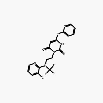 O=c1cc(Sc2ccccn2)[nH]c(=O)n1CCN(c1ncccc1Cl)C(F)(F)F